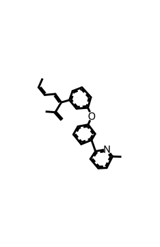 C=C(C)/C(=C\C=C/C)c1cccc(Oc2cccc(-c3cccc(C)n3)c2)c1